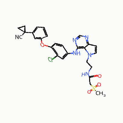 CS(=O)(=O)CC(=O)NCCn1ccc2ncnc(Nc3ccc(Oc4cccc(C5(C#N)CC5)c4)c(Cl)c3)c21